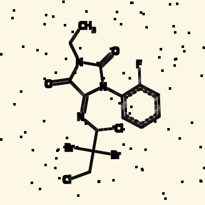 CCN1C(=O)/C(=N/C(Cl)C(Br)(Br)CCl)N(c2ccccc2F)C1=O